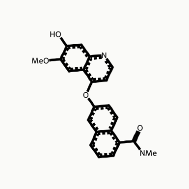 CNC(=O)c1cccc2cc(Oc3ccnc4cc(O)c(OC)cc34)ccc12